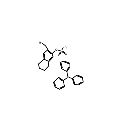 O=S(=O)(Oc1cc2c(cc1CBr)CCCC2)C(F)(F)F.c1ccc(P(c2ccccc2)c2ccccc2)cc1